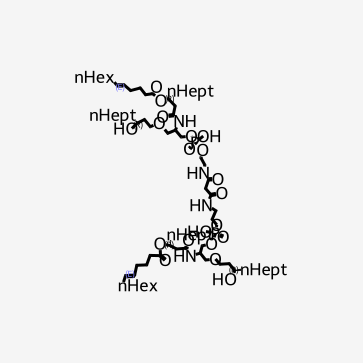 CCCCCC/C=C/CCCC(=O)O[C@H](CCCCCCC)CC(=O)NC(COCC[C@H](O)CCCCCCC)COP(=O)(O)OCCNC(=O)CC(=O)NCCOP(=O)(O)OCC(COCC[C@H](O)CCCCCCC)NC(=O)C[C@@H](CCCCCCC)OC(=O)CCC/C=C/CCCCCC